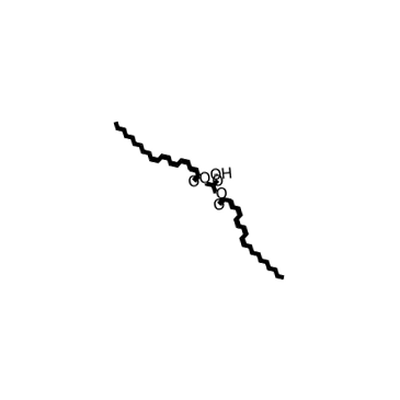 CCCCCCCCC\C=C/C=C\C=C/C=C\C=C\C(=O)OCC(COC(=O)/C=C/C=C\C=C/C=C\C=C/CCCCCCCCC)OO